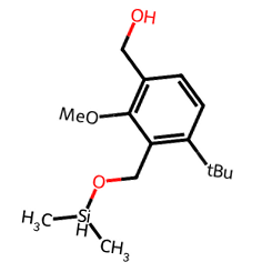 COc1c(CO)ccc(C(C)(C)C)c1CO[SiH](C)C